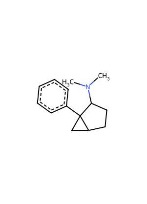 CN(C)C1CCC2CC21c1ccccc1